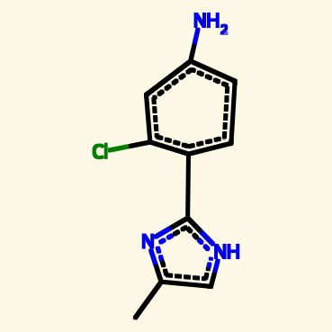 Cc1c[nH]c(-c2ccc(N)cc2Cl)n1